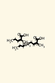 C=CC=C.CCC=C(C)C(=O)O.CCC=C(C)C(=O)O